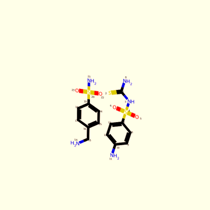 NC(=S)NS(=O)(=O)c1ccc(N)cc1.NCc1ccc(S(N)(=O)=O)cc1